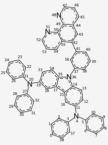 c1ccc(N(c2ccccc2)c2ccc3c(c2)c2cc(N(c4ccccc4)c4ccccc4)ccc2n3-c2cccc(-c3cc4cccnc4c4ncccc34)c2)cc1